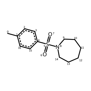 Cc1ccc(S(=O)(=O)N2CCCCCC2)cc1